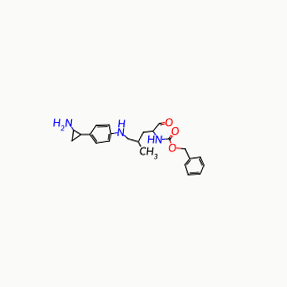 CC(CNc1ccc(C2CC2N)cc1)CC(C=O)NC(=O)OCc1ccccc1